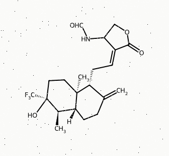 C=C1CC[C@@H]2[C@@H](C)[C@](O)(C(F)(F)F)CC[C@@]2(C)[C@@H]1C/C=C1/C(=O)OCC1NC=O